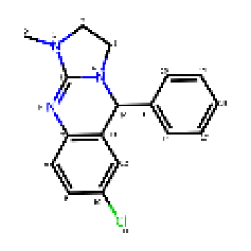 CN1CCN2C1=Nc1ccc(Cl)cc1C2c1ccccc1